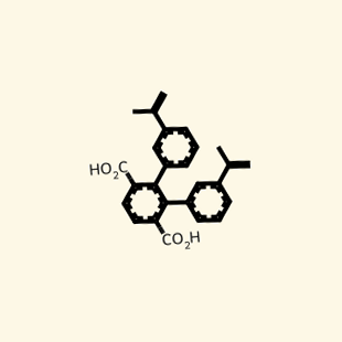 C=C(C)c1cccc(-c2c(C(=O)O)ccc(C(=O)O)c2-c2cccc(C(=C)C)c2)c1